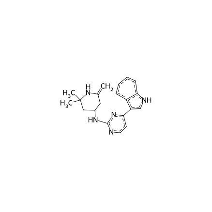 C=C1CC(Nc2nccc(-c3c[nH]c4ccccc34)n2)CC(C)(C)N1